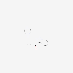 COC(=O)c1c2ccccc2nn1CC[C@@H]1CN(C(=O)O)CCN1